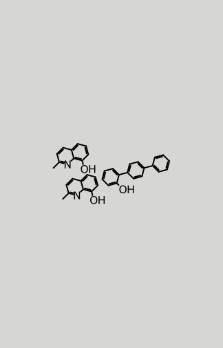 Cc1ccc2cccc(O)c2n1.Cc1ccc2cccc(O)c2n1.Oc1ccccc1-c1ccc(-c2ccccc2)cc1